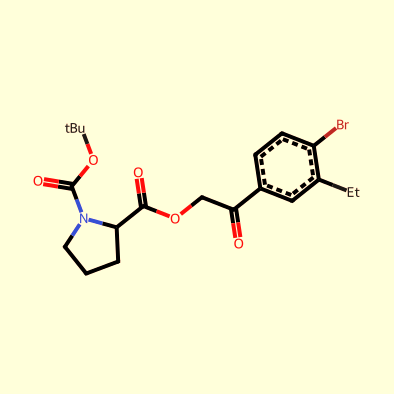 CCc1cc(C(=O)COC(=O)C2CCCN2C(=O)OC(C)(C)C)ccc1Br